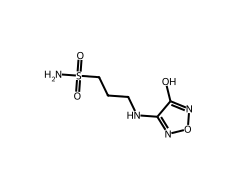 NS(=O)(=O)CCCNc1nonc1O